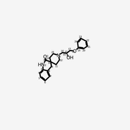 O=C1Nc2ccccc2CC12CCN(C[C@H](O)COc1ccccc1)CC2